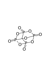 O=P12CP3(=O)OP(=O)(O1)OP(=O)(O2)O3